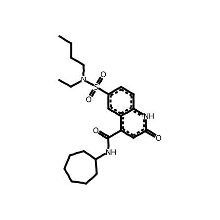 CCCCN(CC)S(=O)(=O)c1ccc2[nH]c(=O)cc(C(=O)NC3CCCCCC3)c2c1